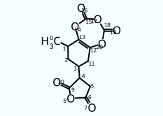 CC1CC(C2CC(=O)OC2=O)CC2=C1OC(=O)OC(=O)O2